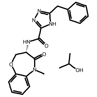 CC(C)O.CN1C(=O)[C@@H](NC(=O)c2nnc(Cc3ccccc3)[nH]2)COc2ccccc21